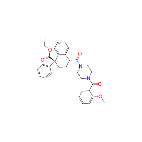 CCOC(=O)[C@]1(c2ccccc2)CC[C@@H](C(=O)N2CCN(C(=O)c3ccccc3OC)CC2)c2ccccc21